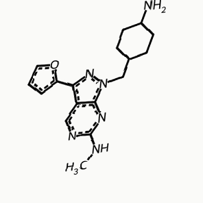 CNc1ncc2c(-c3ccco3)nn(CC3CCC(N)CC3)c2n1